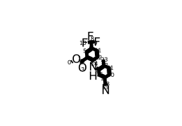 COC(=O)c1cc(C(F)(F)F)ccc1Nc1cc(C#N)ccc1C